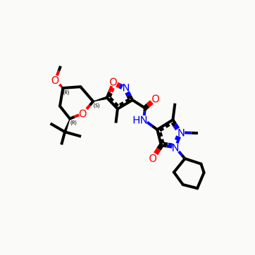 CO[C@H]1C[C@@H](c2onc(C(=O)Nc3c(C)n(C)n(C4CCCCC4)c3=O)c2C)O[C@@H](C(C)(C)C)C1